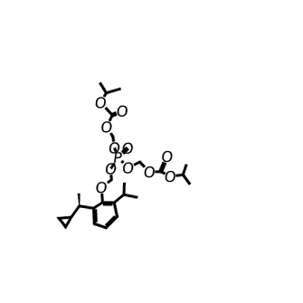 CC(C)OC(=O)OCOP(=O)(OCOC(=O)OC(C)C)OCOc1c(C(C)C)cccc1[C@H](C)C1CC1